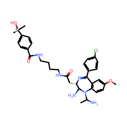 COc1ccc2c(c1)C(c1ccc(Cl)cc1)=N[C@@H](CC(=O)NCCCCNC(=O)c1ccc([Si](C)(C)O)cc1)C(N)N2C(C)N